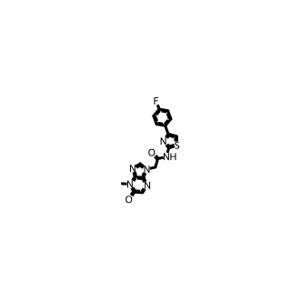 Cn1c(=O)cnc2c1ncn2CC(=O)Nc1nc(-c2ccc(F)cc2)cs1